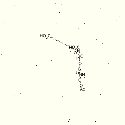 CC(=O)COCCOCCNC(=O)COCCOCCNC(=O)CCN(CC(=O)O)C(=O)CCCCCCCCCCCCCCCCC(=O)O